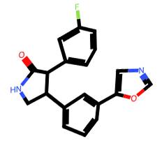 O=C1NCC(c2cccc(-c3cnco3)c2)C1c1cccc(F)c1